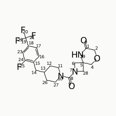 O=C1COCC2(CN(C(=O)N3CCC(Cc4ccc(C(F)(F)F)cc4F)CC3)C2)N1